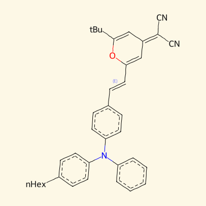 CCCCCCc1ccc(N(c2ccccc2)c2ccc(/C=C/C3=CC(=C(C#N)C#N)C=C(C(C)(C)C)O3)cc2)cc1